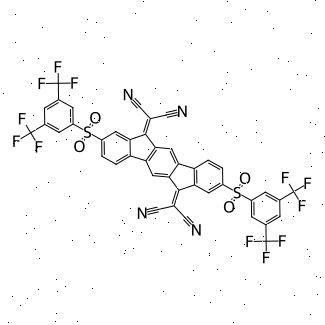 N#CC(C#N)=C1c2cc(S(=O)(=O)c3cc(C(F)(F)F)cc(C(F)(F)F)c3)ccc2-c2cc3c(cc21)-c1ccc(S(=O)(=O)c2cc(C(F)(F)F)cc(C(F)(F)F)c2)cc1C3=C(C#N)C#N